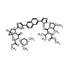 COC(=O)NC(C(=O)N1[C@@H]2C[C@@H]2C[C@H]1c1ncc(-c2ccc3cc(-c4cnc([C@@H]5C[C@@H](C)C(C)N5C(=O)[C@@H](NC(=O)OC)C(C)C)[nH]4)ccc3c2)[nH]1)[C@H]1C[C@@H](C)O[C@@H](C)C1